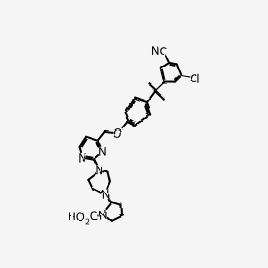 CC(C)(c1ccc(OCc2ccnc(N3CCN(C4CCCN4C(=O)O)CC3)n2)cc1)c1cc(Cl)cc(C#N)c1